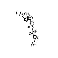 CN(C)Cc1ccc(C(=O)N2CCC(O)(CCNC(=O)c3cnn(CCO)c3)C2)[nH]1